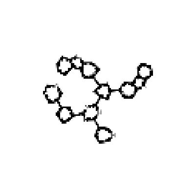 c1cncc(-c2cccc(-c3nc(-c4cccnc4)nc(-c4cc(-c5ccc6oc7ccccc7c6c5)cc(-c5ccc6oc7ccccc7c6c5)c4)n3)c2)c1